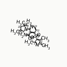 Cc1nn(C)c(C)c1S(=O)(=O)c1ccnc(N2C[C@@H](C)CC2(C)C)c1C(N)=O